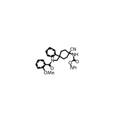 CCCOC(=O)NC1(C#N)CCC(CNC(=O)c2ccccc2OC)(c2ccccc2)CC1